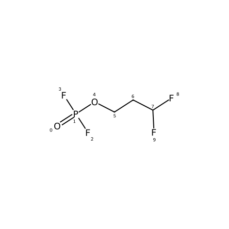 O=P(F)(F)OCCC(F)F